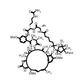 CCCCCC1(C)CC(C=O)(OC(C)(C)CCCCC(=O)N[C@H](C(=O)N[C@@H](CCCNC(N)=O)C(=O)Nc2cc(OC)ccc2C(=O)N(C)[C@@H](C)C(=O)O[C@H]2CC(=O)N(C)c3cc(cc(OC)c3Cl)C/C(C)=C/C=C/[C@@H](OC)[C@@]3(O)C[C@H](OC(=O)N3)[C@@H](C)[C@@H]3O[C@@]23C)C(C)C)CC1(C)CC